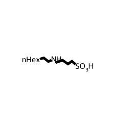 CCCCCCCCNCCCCS(=O)(=O)O